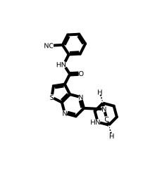 N#Cc1ccccc1NC(=O)c1csc2ncc(N3C[C@H]4CC[C@@H]3CN4)nc12